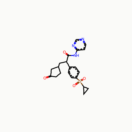 O=C1CCC(CC(C(=O)Nc2ccncn2)c2ccc(S(=O)(=O)C3CC3)cc2)C1